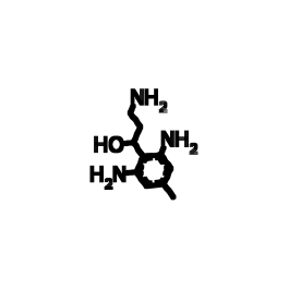 Cc1cc(N)c(C(O)CCN)c(N)c1